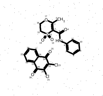 CC1=C(C(=O)Nc2ccccc2)S(=O)(=O)CCO1.O=C1C(Cl)=C(Cl)C(=O)c2ccccc21